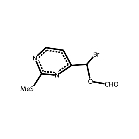 CSc1nccc(C(Br)OC=O)n1